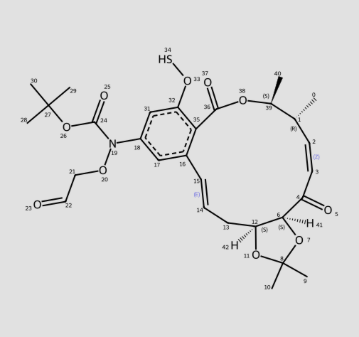 C[C@@H]1/C=C\C(=O)[C@H]2OC(C)(C)O[C@H]2C/C=C/c2cc(N(OCC=O)C(=O)OC(C)(C)C)cc(OS)c2C(=O)O[C@H]1C